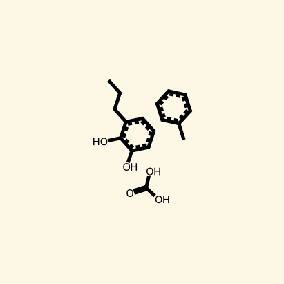 CCCc1cccc(O)c1O.Cc1ccccc1.O=C(O)O